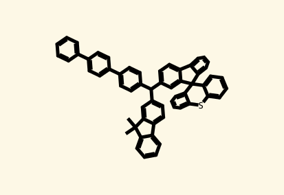 CC1(C)c2ccccc2-c2ccc(C(c3ccc(-c4ccc(-c5ccccc5)cc4)cc3)c3ccc4c(c3)C3(c5ccccc5Sc5ccccc53)c3ccccc3-4)cc21